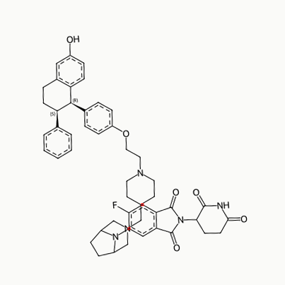 O=C1CCC(N2C(=O)c3cc(F)c(N4C5CCC4CN(CC4CCN(CCOc6ccc([C@@H]7c8ccc(O)cc8CC[C@@H]7c7ccccc7)cc6)CC4)C5)cc3C2=O)C(=O)N1